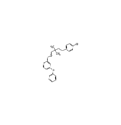 CC(C)(CCc1ccc(Cl)cc1)COCc1cccc(Oc2ccccc2)c1